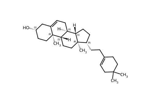 CC1(C)CC=C(CC[C@H]2CC[C@H]3[C@@H]4CC=C5C[C@@H](O)CC[C@]5(C)[C@H]4CC[C@]23C)CC1